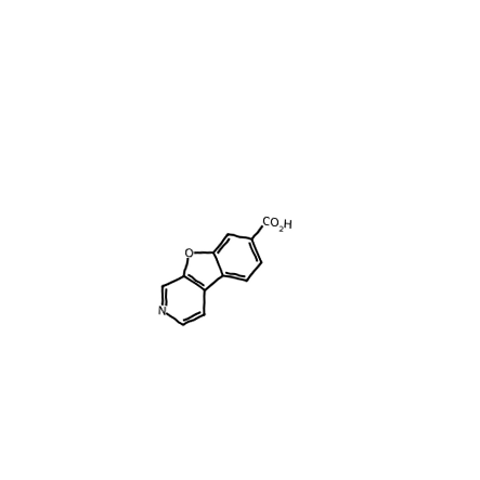 O=C(O)c1ccc2c(c1)oc1cnccc12